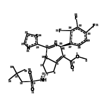 COC(=O)C1=C2C[C@H](NS(=O)(=O)CC(C)(C)C)CN2C(c2nccs2)=N[C@H]1c1ccc(F)c(F)c1F